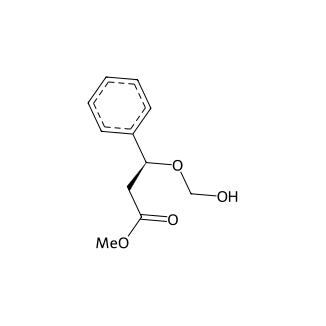 COC(=O)C[C@H](OCO)c1ccccc1